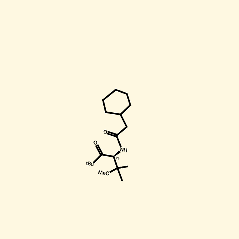 COC(C)(C)[C@H](NC(=O)CC1CCCCC1)C(=O)C(C)(C)C